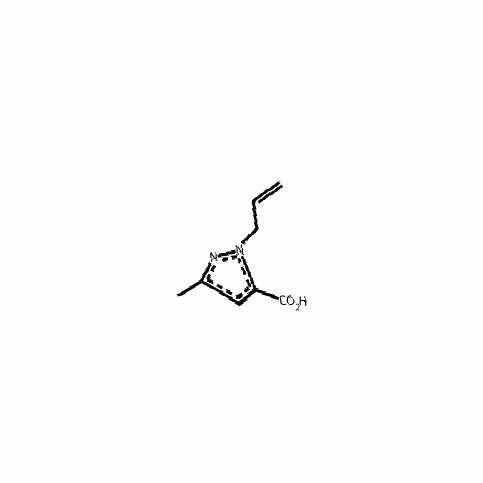 C=CCn1nc(C)cc1C(=O)O